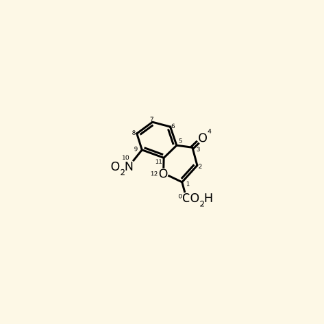 O=C(O)c1cc(=O)c2cccc([N+](=O)[O-])c2o1